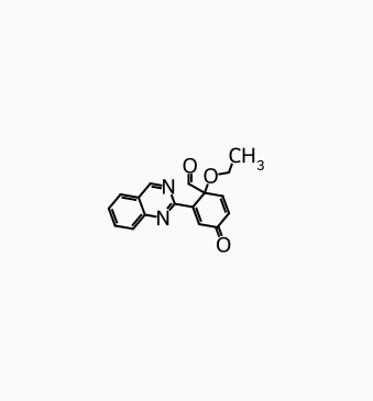 CCOC1(C=O)C=CC(=O)C=C1c1ncc2ccccc2n1